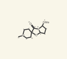 COC1CCC2OC3(CCN(C)CC3)C(=O)N12